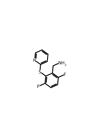 NCc1c(F)ccc(F)c1Sc1ccccn1